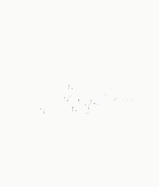 CCCN(CCC)c1cc(N/N=C2\CCCc3c(O)cccc32)nc(OCCN2CCOCC2)n1